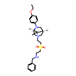 CCOc1ccc(N2C[C@H]3CN(CCS(=O)(=O)CCNCc4ccccc4)C[C@@H]2C(C)(C)C3)cc1